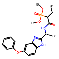 CCOP(=O)(OCC)C(CC(C)C)C(=O)N[C@H](c1nc2cc(Oc3ccccc3)ccc2[nH]1)C(C)C